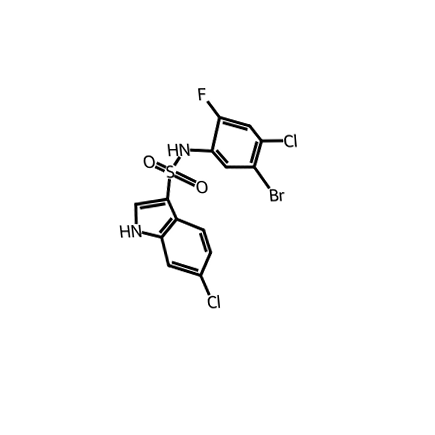 O=S(=O)(Nc1cc(Br)c(Cl)cc1F)c1c[nH]c2cc(Cl)ccc12